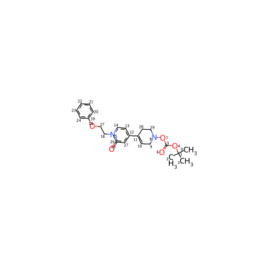 CC(C)(C)OC(=O)ON1CC=C(c2ccn(CCOc3ccccc3)c(=O)c2)CC1